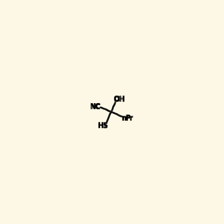 CCCC(O)(S)C#N